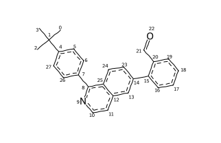 CC(C)(C)c1ccc(-c2nccc3cc(-c4ccccc4C=O)ccc23)cc1